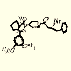 COc1ccc(C2=NN(C3CCN(C(=O)C[C@H](N)Cc4ccccc4)CC3)C(=O)[C@@H]3CCCC[C@H]23)cc1OC